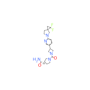 NC(=O)[C@H]1CCN(C(=O)N2CC(c3ccc(N4CCC5(C4)CC5(F)F)nc3)C2)C1